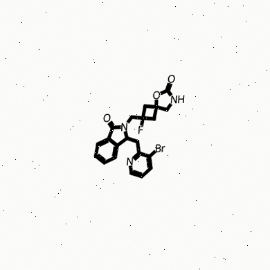 O=C1NCC2(CC(F)(CN3C(=O)c4ccccc4C3Cc3ncccc3Br)C2)O1